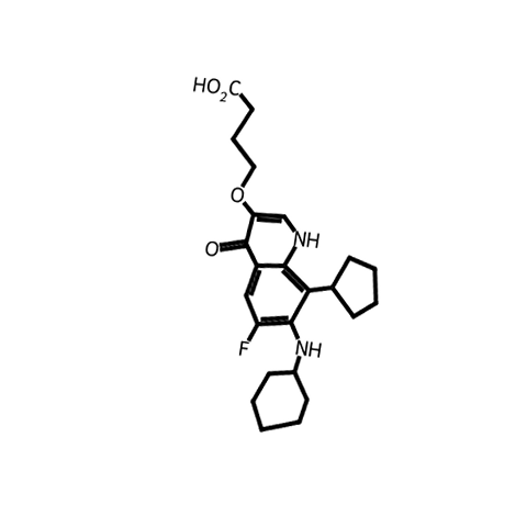 O=C(O)CCCOc1c[nH]c2c(C3CCCC3)c(NC3CCCCC3)c(F)cc2c1=O